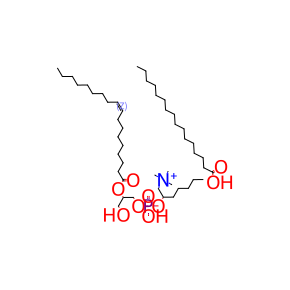 CCCCCCCC/C=C\CCCCCCCC(=O)OC(CO)COP(=O)(O)OC(CCCCC)C[N+](C)(C)C.CCCCCCCCCCCCCCCC(=O)O